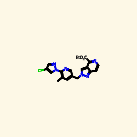 CCOC(=O)c1nccc2nn(Cc3cnc(-n4cc(Cl)cn4)c(C)c3)cc12